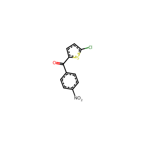 O=C(c1ccc([N+](=O)[O-])cc1)c1ccc(Cl)s1